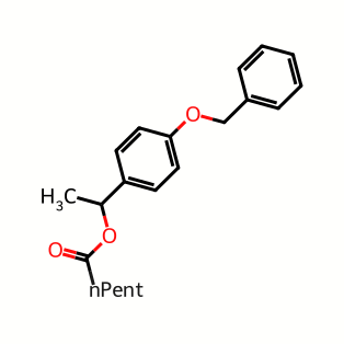 CCCCCC(=O)OC(C)c1ccc(OCc2ccccc2)cc1